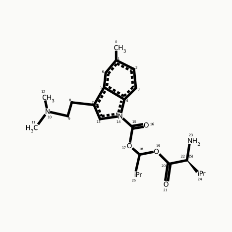 Cc1ccc2c(c1)c(CCN(C)C)cn2C(=O)OC(OC(=O)[C@@H](N)C(C)C)C(C)C